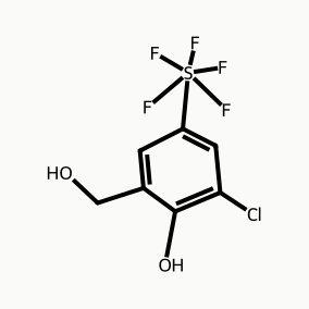 OCc1cc(S(F)(F)(F)(F)F)cc(Cl)c1O